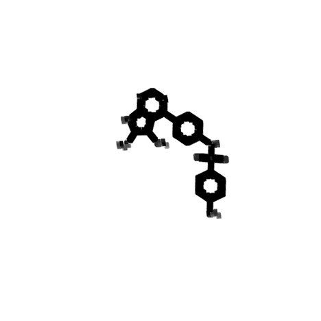 Cc1ccc(S(=O)(=O)Nc2ccc(-c3ncnc4[nH]c(C)c(C)c34)cc2)cc1